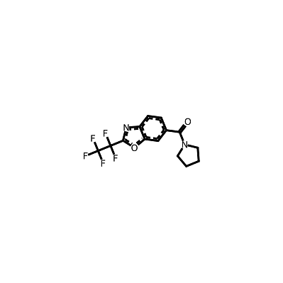 O=C(c1ccc2nc(C(F)(F)C(F)(F)F)oc2c1)N1CCCC1